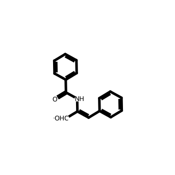 O=[C]C(=Cc1ccccc1)NC(=O)c1ccccc1